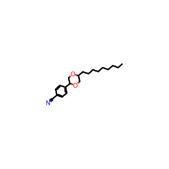 CCCCCCCCCC1COC(c2ccc(C#N)cc2)CO1